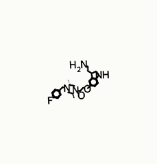 C[C@@H]1CN(C(=O)COc2ccc3c(c2)C(CCN)CN3)[C@@H](C)CN1Cc1ccc(F)cc1